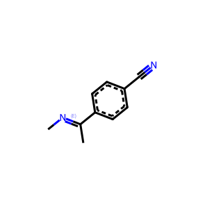 C/N=C(\C)c1ccc(C#N)cc1